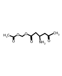 CC(=O)CC(N)CC(=O)OCOC(C)=O